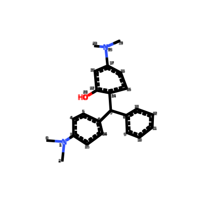 CN(C)c1ccc(C(c2ccccc2)c2ccc(N(C)C)cc2O)cc1